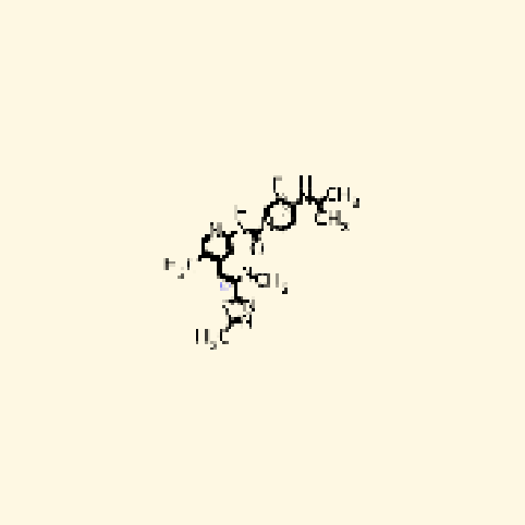 C=N/C(=C\c1cc(NC(=O)N2CC[C@H](NC(C)C)[C@H](F)C2)ncc1C)c1nnc(C)s1